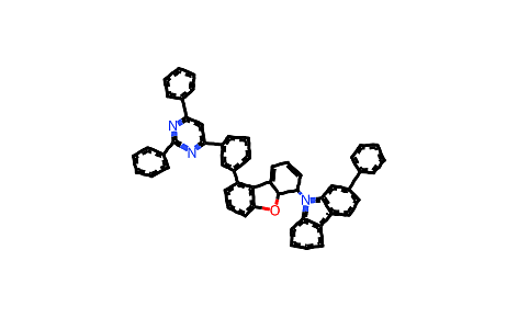 C1=CC(n2c3ccccc3c3ccc(-c4ccccc4)cc32)C2Oc3cccc(-c4cccc(-c5cc(-c6ccccc6)nc(-c6ccccc6)n5)c4)c3C2=C1